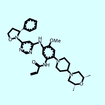 C=CC(=O)Nc1cc(Nc2cc(N3OCC[C@@H]3c3ccccc3)ncn2)c(OC)cc1N1CCC(N2C[C@@H](C)O[C@@H](C)C2)CC1